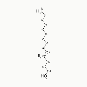 CCCCCCCCCOC(=O)CCCO